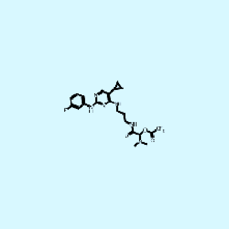 CN(C)C(OC(=O)C(F)(F)F)C(=O)NCCCNc1nc(Nc2cccc(F)c2)ncc1C1CC1